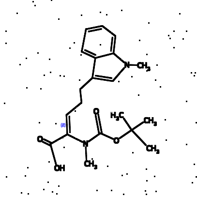 CN(C(=O)OC(C)(C)C)/C(=C\CCc1cn(C)c2ccccc12)C(=O)O